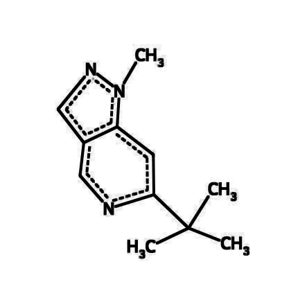 Cn1ncc2cnc(C(C)(C)C)cc21